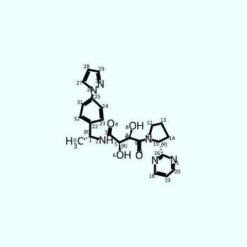 C[C@@H](NC(=O)[C@H](O)[C@@H](O)C(=O)N1CCC[C@@H]1c1ncccn1)c1ccc(-n2cccn2)cc1